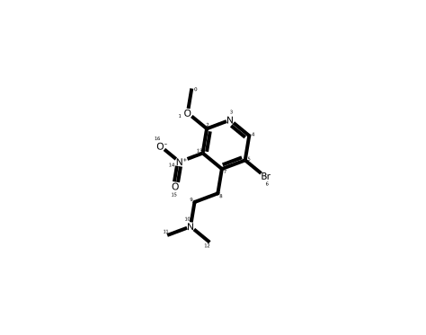 COc1ncc(Br)c(CCN(C)C)c1[N+](=O)[O-]